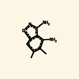 Cc1cc2onc(N)c2c(N)c1C